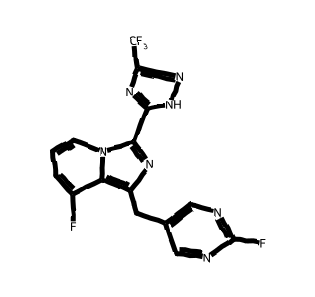 Fc1ncc(Cc2nc(-c3nc(C(F)(F)F)n[nH]3)n3cccc(F)c23)cn1